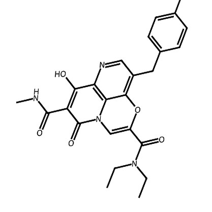 CCN(CC)C(=O)C1=Cn2c(=O)c(C(=O)NC)c(O)c3ncc(Cc4ccc(F)cc4)c(c32)O1